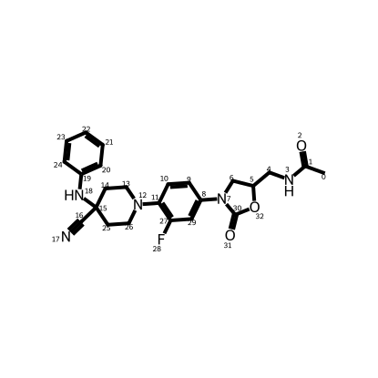 CC(=O)NCC1CN(c2ccc(N3CCC(C#N)(Nc4ccccc4)CC3)c(F)c2)C(=O)O1